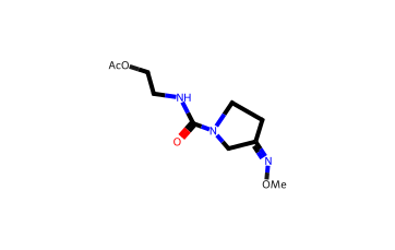 CON=C1CCN(C(=O)NCCOC(C)=O)C1